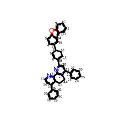 C1=CC(c2ccc3oc4ccccc4c3c2)CC=C1c1cc(-c2ccccc2)c2c(n1)-c1nccc(-c3ccccc3)c1CC2